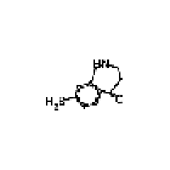 Bc1ccc2c(c1)CNCCC2=O